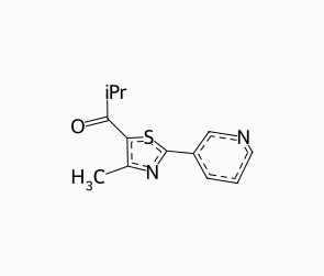 Cc1nc(-c2cccnc2)sc1C(=O)C(C)C